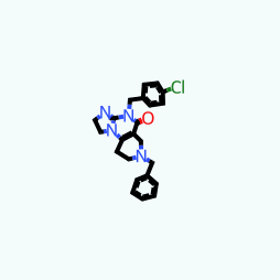 O=C1C2=C(CCN(Cc3ccccc3)C2)N2CCN=C2N1Cc1ccc(Cl)cc1